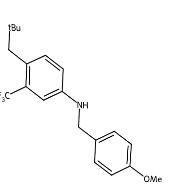 COc1ccc(CNc2ccc(CC(C)(C)C)c(C(F)(F)F)c2)cc1